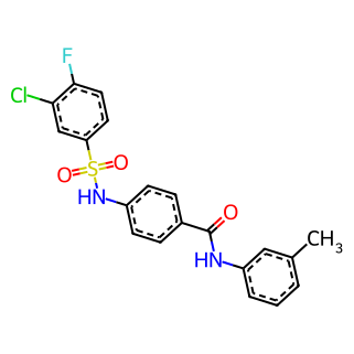 Cc1cccc(NC(=O)c2ccc(NS(=O)(=O)c3ccc(F)c(Cl)c3)cc2)c1